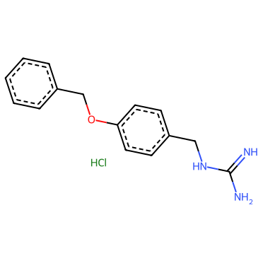 Cl.N=C(N)NCc1ccc(OCc2ccccc2)cc1